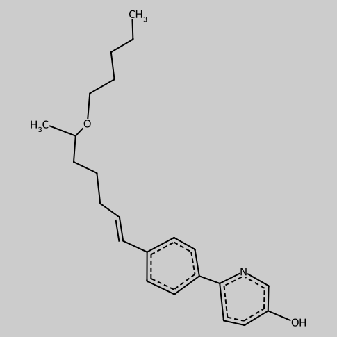 CCCCCOC(C)CCCC=Cc1ccc(-c2ccc(O)cn2)cc1